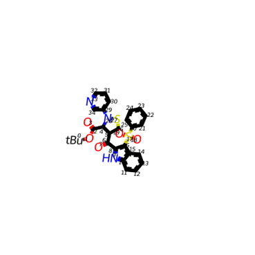 CC(C)(C)OC(=O)C1C(C(=O)c2[nH]c3ccccc3c2S(=O)(=O)c2ccccc2)CSN1c1cccnc1